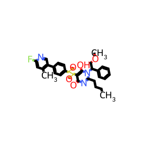 CCCCc1nc(=O)c(S(=O)(=O)c2ccc(-c3cnc(F)cc3C)cc2)c(O)n1C(COC)c1ccccc1